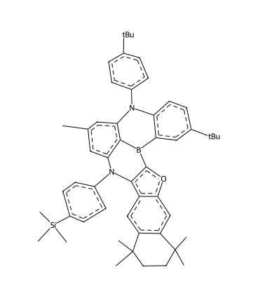 Cc1cc2c3c(c1)N(c1ccc([Si](C)(C)C)cc1)c1c(oc4cc5c(cc14)C(C)(C)CCC5(C)C)B3c1cc(C(C)(C)C)ccc1N2c1ccc(C(C)(C)C)cc1